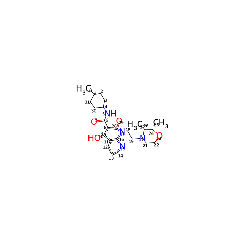 CC1CCC(NC(=O)c2c(O)c3cccnc3n(CCN3CCO[C@@H](C)[C@H]3C)c2=O)CC1